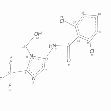 O=C(Nc1cnc(C(F)(F)F)n1CO)c1c(Cl)cccc1Cl